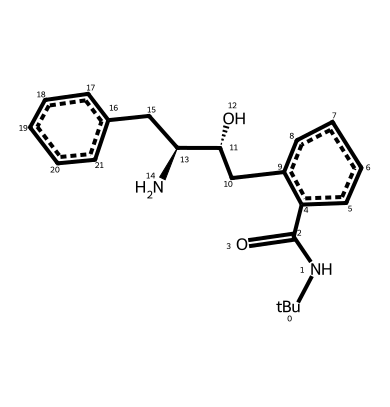 CC(C)(C)NC(=O)c1ccccc1C[C@@H](O)[C@@H](N)Cc1ccccc1